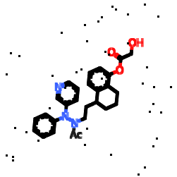 CC(=O)N(CCC1CCCc2c(OC(=O)CO)cccc21)N(c1ccccc1)c1cccnc1